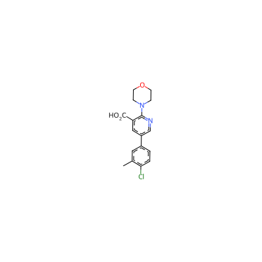 Cc1cc(-c2cnc(N3CCOCC3)c(C(=O)O)c2)ccc1Cl